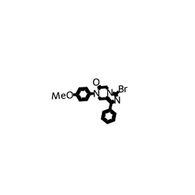 COc1ccc(N2Cc3c(-c4ccccc4)nc(Br)n3CC2=O)cc1